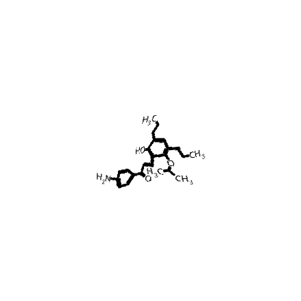 CCCc1cc(CCC)c(OC(C)C)c(C=CC(=O)c2ccc(N)cc2)c1O